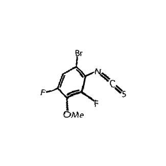 COc1c(F)cc(Br)c(N=C=S)c1F